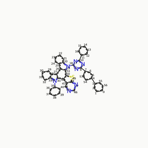 c1ccc(-c2ccc(-c3nc(-c4ccccc4)nc(-n4c5ccccc5c5c6c7ccccc7n(-c7ccccc7)c6c6c7cncnc7sc6c54)n3)cc2)cc1